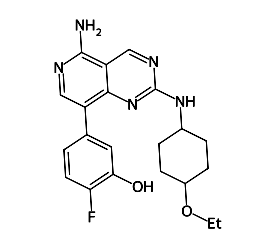 CCOC1CCC(Nc2ncc3c(N)ncc(-c4ccc(F)c(O)c4)c3n2)CC1